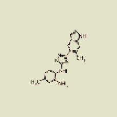 Cc1ccc(Nc2nnc(-c3cc4cn[nH]c4cc3C)s2)c(N)c1